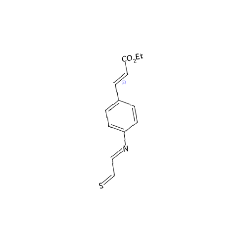 CCOC(=O)/C=C/c1ccc(N=CC=S)cc1